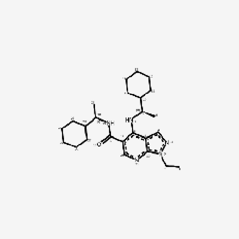 CCn1ncc2c(N[C@H](C)C3CCCCC3)c(C(=O)N[C@H](C)C3CCCCC3)cnc21